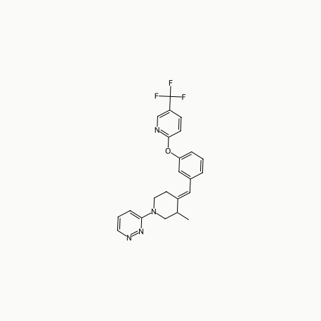 CC1CN(c2cccnn2)CCC1=Cc1cccc(Oc2ccc(C(F)(F)F)cn2)c1